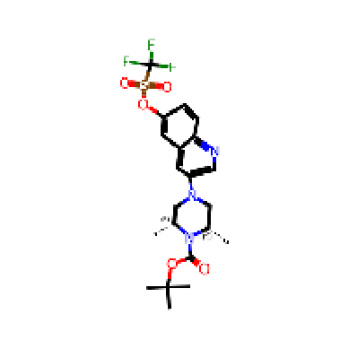 C[C@@H]1CN(c2cnc3ccc(OS(=O)(=O)C(F)(F)F)cc3c2)C[C@H](C)N1C(=O)OC(C)(C)C